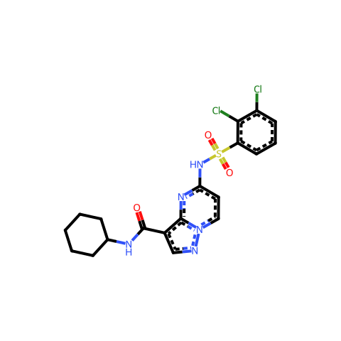 O=C(NC1CCCCC1)c1cnn2ccc(NS(=O)(=O)c3cccc(Cl)c3Cl)nc12